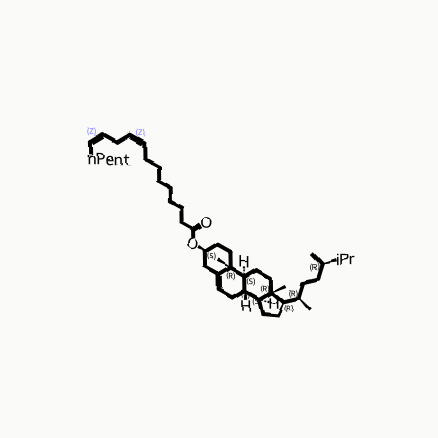 CCCCC/C=C\C/C=C\CCCCCCCC(=O)O[C@H]1CC[C@@]2(C)C(=CC[C@H]3[C@@H]4CC[C@H]([C@H](C)CC[C@@H](C)C(C)C)[C@@]4(C)CC[C@@H]32)C1